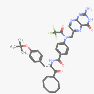 CC(C)(C)Oc1ccc(C[C@H](NC(=O)c2ccc(N(CC3=NC4C(=O)NC(N)=NC4N=C3)C(=O)C(F)(F)F)cc2)C(=O)C2CCCCCCC2)cc1